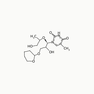 Cc1cn([C@H](OC(C)CO)C(O)COC2CCCCO2)c(=O)[nH]c1=O